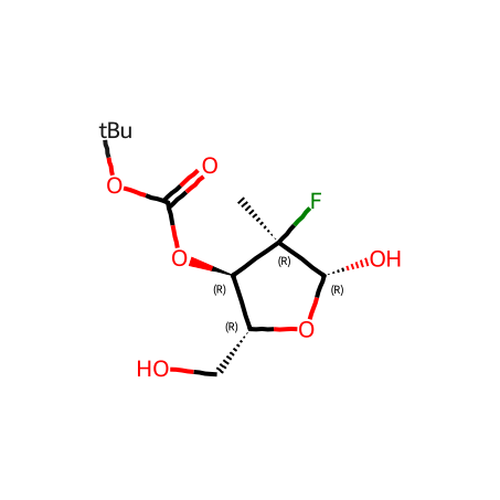 CC(C)(C)OC(=O)O[C@@H]1[C@@H](CO)O[C@@H](O)[C@]1(C)F